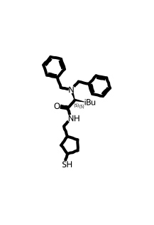 CC[C@H](C)[C@@H](C(=O)NCC1CCC(S)C1)N(Cc1ccccc1)Cc1ccccc1